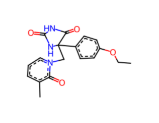 CCOc1ccc(C2(Cn3cccc(C)c3=O)NC(=O)NC2=O)cc1